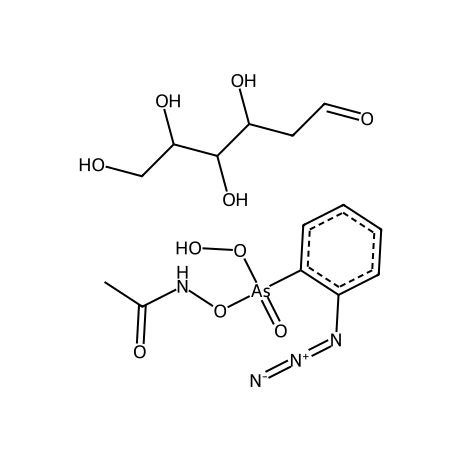 CC(=O)NO[As](=O)(OO)c1ccccc1N=[N+]=[N-].O=CCC(O)C(O)C(O)CO